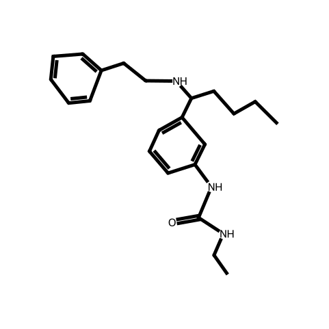 CCCCC(NCCc1ccccc1)c1cccc(NC(=O)NCC)c1